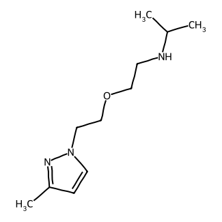 Cc1ccn(CCOCCNC(C)C)n1